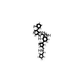 Fc1ccccc1-c1cncc2c1NC(c1n[nH]c3ccc(-c4cncc(CNCC5CCCC5)c4)cc13)N2